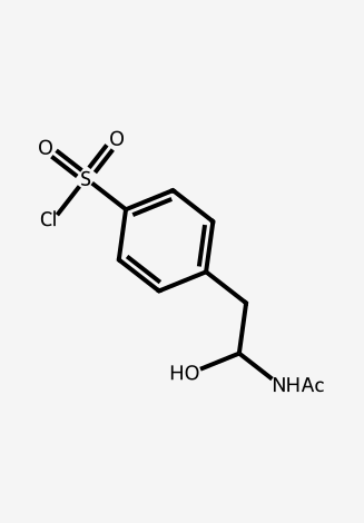 CC(=O)NC(O)Cc1ccc(S(=O)(=O)Cl)cc1